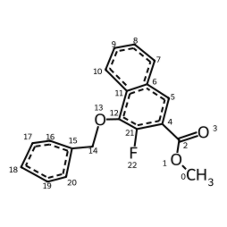 COC(=O)c1cc2ccccc2c(OCc2ccccc2)c1F